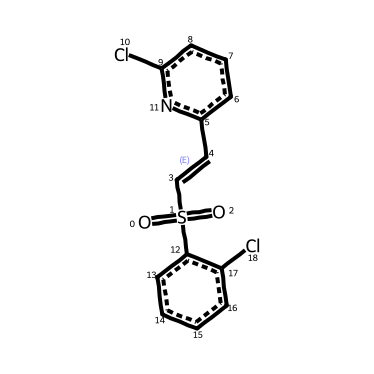 O=S(=O)(/C=C/c1cccc(Cl)n1)c1ccccc1Cl